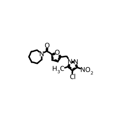 Cc1c(Cl)c([N+](=O)[O-])nn1Cc1ccc(C(=O)N2CCCCCC2)o1